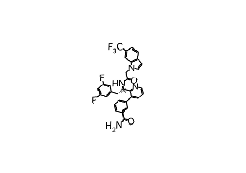 NC(=O)c1cccc(-c2cccnc2[C@H](Cc2cc(F)cc(F)c2)NC(=O)Cn2ccc3ccc(C(F)(F)F)cc32)c1